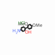 COc1ccc(-c2ccc(N)cc2O)c(OC)c1.Cl